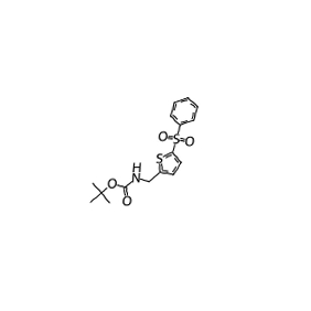 CC(C)(C)OC(=O)NCc1ccc(S(=O)(=O)c2ccccc2)s1